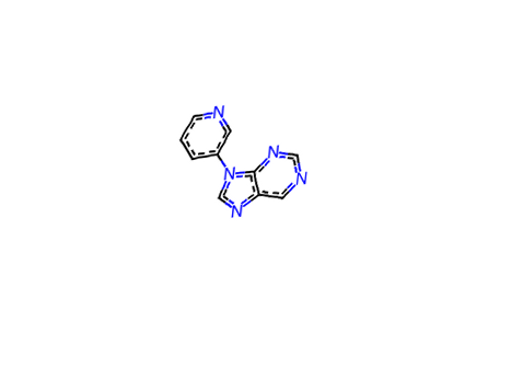 c1cncc(-n2cnc3cncnc32)c1